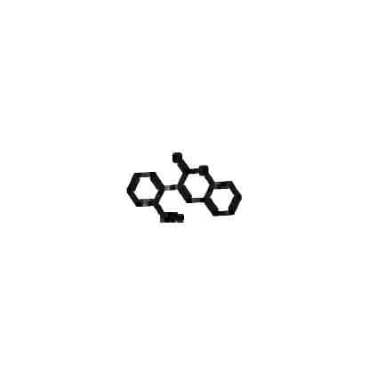 CNc1ccccc1-c1cc2ccccc2oc1=O